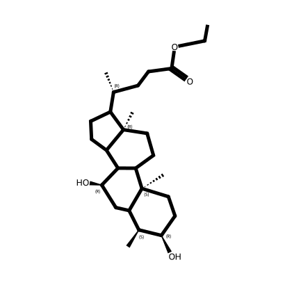 CCOC(=O)CC[C@@H](C)C1CCC2C3C(CC[C@@]21C)[C@@]1(C)CC[C@@H](O)[C@@H](C)C1C[C@H]3O